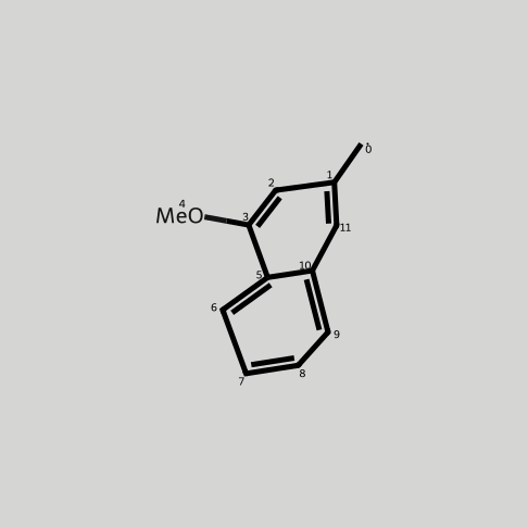 [CH2]c1cc(OC)c2ccccc2c1